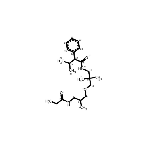 CCC(=O)NCC(C)COCC(C)(C)CNC(=O)C(c1ccccc1)C(C)C